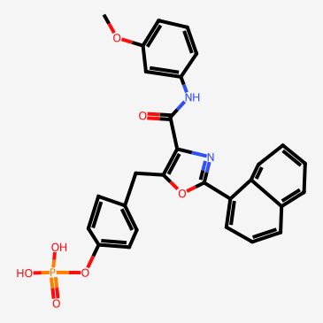 COc1cccc(NC(=O)c2nc(-c3cccc4ccccc34)oc2Cc2ccc(OP(=O)(O)O)cc2)c1